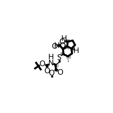 COC(=O)[C@H](CS[C@H]1C2C(=O)O[C@@H]3CC[C@H](C[C@@H]1C)[C@]23O)NC(=O)OC(C)(C)C